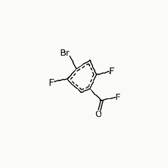 O=C(F)c1cc(F)c(Br)cc1F